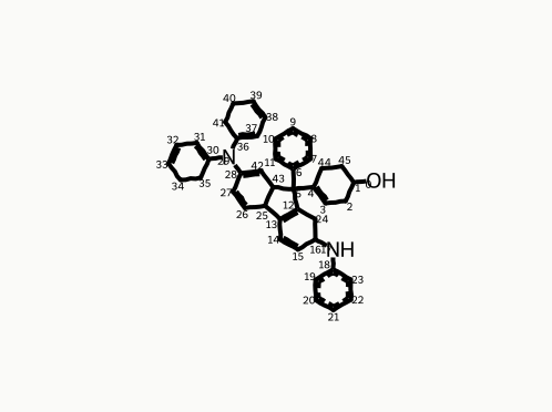 OC1CC=C(C2(c3ccccc3)C3=C(C=CC(Nc4ccccc4)C3)C3C=CC(N(C4=CC=CCC4)C4=CC=CCC4)=CC32)CC1